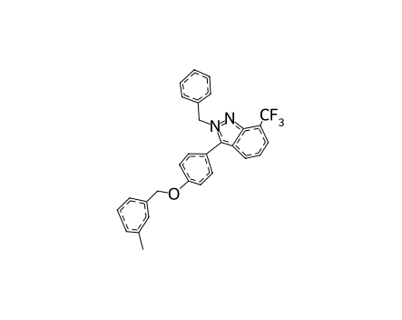 Cc1cccc(COc2ccc(-c3c4cccc(C(F)(F)F)c4nn3Cc3ccccc3)cc2)c1